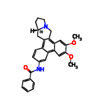 COc1cc2c3c(c4ccc(NC(=O)c5ccccc5)cc4c2cc1OC)C[C@@H]1CCCN1C3